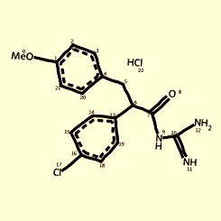 COc1ccc(CC(C(=O)NC(=N)N)c2ccc(Cl)cc2)cc1.Cl